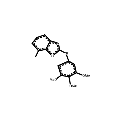 COc1cc(Nc2nc3cccc(C)c3o2)cc(OC)c1OC